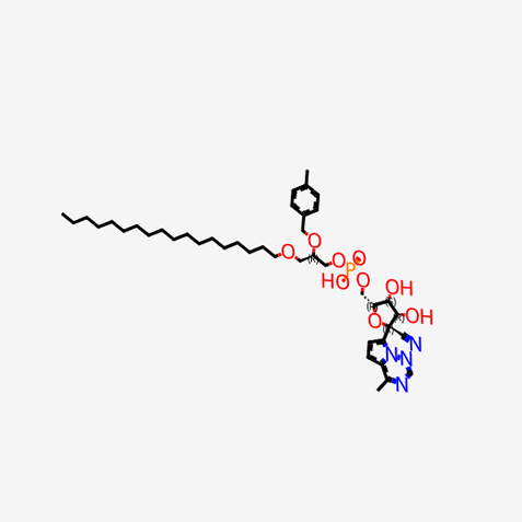 CCCCCCCCCCCCCCCCCCOC[C@H](COP(=O)(O)OC[C@H]1O[C@@](C#N)(c2ccc3c(C)ncnn23)[C@H](O)[C@@H]1O)OCc1ccc(C)cc1